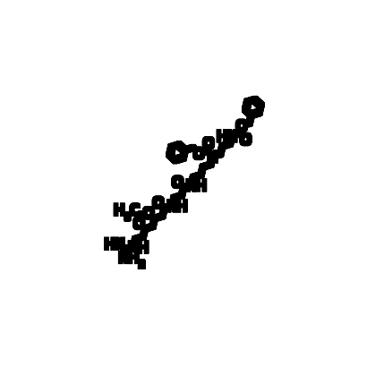 CC(=O)OC(CCCCNC(=N)N)CC(=O)NCCC(=O)NCCCCN(CCCNC(=O)OCc1ccccc1)C(=O)OCc1ccccc1